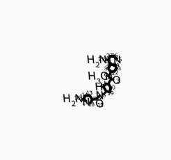 CN(C(=O)c1ccc(CNC(=O)c2ccc(N)nc2)cc1)c1ccc2nccc(N)c2c1